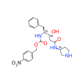 O=C(C[C@@H](O)[C@H](Cc1ccccc1)NC(=O)OCc1ccc([N+](=O)[O-])cc1)N[C@H]1CCNC1